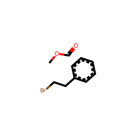 BrCCc1ccccc1.COC=O